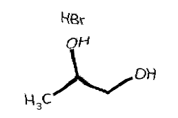 Br.CC(O)CO